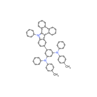 Cc1ccc(N(c2ccccc2)c2cc(-c3ccc4c(c3)c3c5ccccc5c5ccccc5c3n4-c3ccccc3)cc(N(c3ccccc3)c3ccc(C)cc3)c2)cc1